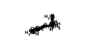 COc1cc(N2CCC(N3CCN(C(=O)CCCCCC(=O)NC(C(=O)N4C[C@H](O)C[C@H]4C(=O)NCc4ccc(-c5scnc5C)cc4)C(C)(C)C)CC3)CC2)ccc1Nc1ncc(Cl)c(Nc2ccccc2P(C)(C)=O)n1